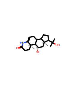 CC(C)(O)C1CCC2C3CC=C4NC(=O)CC[C@]4(C)C3[C@@H](O)C[C@@]21C